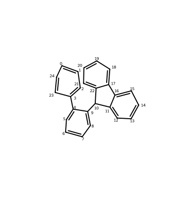 c1ccc(-c2ccccc2C2c3ccccc3-c3ccccc32)cc1